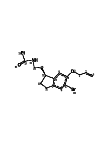 C=CCOc1cc2c(cc1Br)CC[C@H]2CCNC(=O)CC